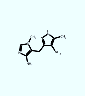 Cc1[nH]nc(Cc2c(N)ncn2C)c1N